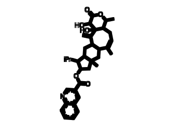 C=C1C2CC3C(C(C)C)C(OC(=O)c4cnc5ccccc5c4)CC3(C)CC2C(C)=CCC2C(C)OC(=O)C(O)C12O